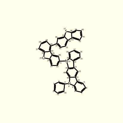 c1ccc(-n2c3ccccc3c3cc4c5ccccc5n(-c5ccc6oc7cccc(-c8ccc9c(c8)sc8ccccc89)c7c6c5)c4cc32)cc1